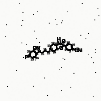 CC(C)(C)c1ccc(S(=O)(=O)NC2CCN(CCCc3noc4cc(F)ccc34)CC2)cc1